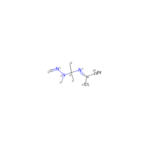 C=NN(C)C(C)(C)/N=C(\CC)CCC